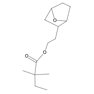 CCC(C)(C)C(=O)OCCC1CC2CCC1O2